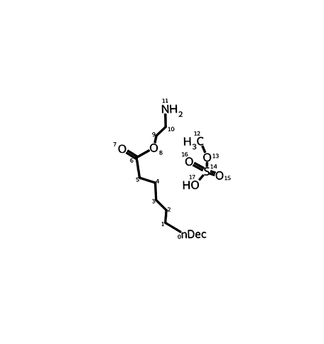 CCCCCCCCCCCCCCCC(=O)OCCN.COS(=O)(=O)O